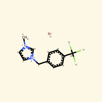 Cn1cc[n+](Cc2ccc(C(F)(F)F)cc2)c1.[Br-]